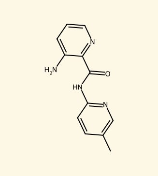 Cc1ccc(NC(=O)c2ncccc2N)nc1